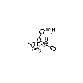 O=C1N[C@@](c2ccc(F)cc2)(c2ccc(-c3cccc(S(=O)(=O)O)c3)cc2O)[C@H]1CC[C@H](O)c1ccccc1